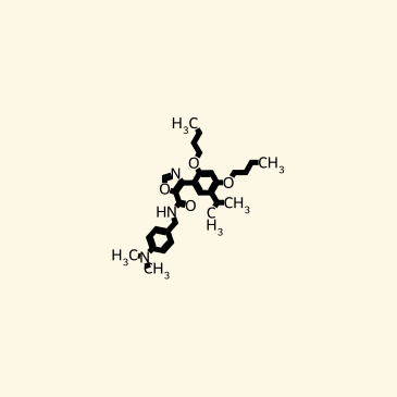 CCCCOc1cc(OCCCC)c(C(C)C)cc1-c1ncoc1C(=O)NCc1ccc(N(C)C)cc1